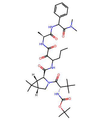 CCCC(NC(=O)[C@@H]1[C@@H]2[C@H](CN1C(=O)[C@@H](NC(=O)OC(C)(C)C)C(C)(C)C)C2(C)C)C(=O)C(=O)N[C@@H](C)C(=O)NC(C(=O)N(C)C)c1ccccc1